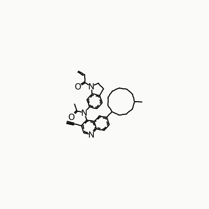 C#Cc1cnc2ccc(C3CCCCCCC(C)CCC3)cc2c1N(C(C)=O)c1ccc2c(c1)N(C(=O)C=C)CC2